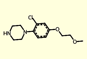 COCCOc1ccc(N2CCNCC2)c(Cl)c1